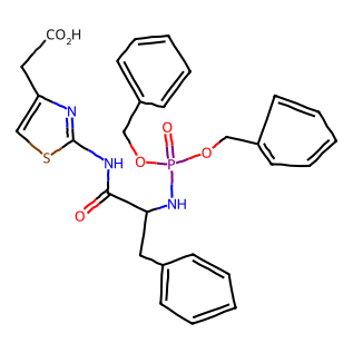 O=C(O)Cc1csc(NC(=O)C(Cc2ccccc2)NP(=O)(OCc2ccccc2)OCc2ccccc2)n1